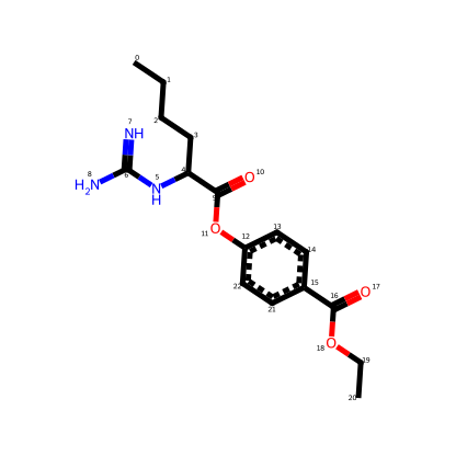 CCCCC(NC(=N)N)C(=O)Oc1ccc(C(=O)OCC)cc1